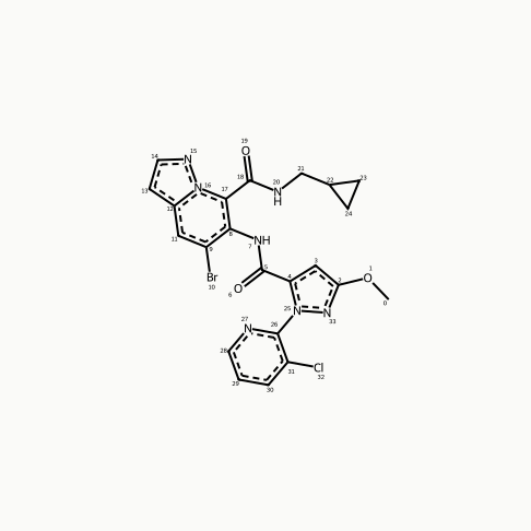 COc1cc(C(=O)Nc2c(Br)cc3ccnn3c2C(=O)NCC2CC2)n(-c2ncccc2Cl)n1